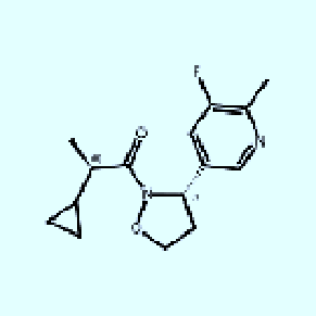 Cc1ncc([C@@H]2CCON2C(=O)[C@H](C)C2CC2)cc1F